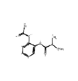 CCCCCCC(C)C(=O)Oc1ccccc1OC(=O)CC